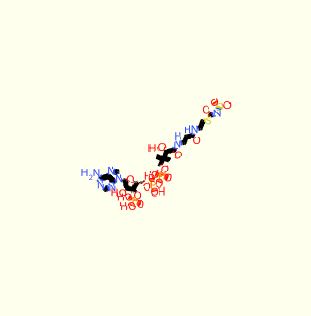 CC(C)(COP(=O)(O)OP(=O)(O)OC[C@H]1O[C@@H](n2cnc3c(N)ncnc32)[C@H](O)[C@@H]1OP(=O)(O)O)[C@@H](O)C(=O)NCCC(=O)NCCSC(=O)N=S(=O)=O